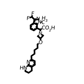 Cn1nc(C(F)F)c2cccc(C(C(=O)O)N3CC(OCCCCCc4ccc5c(n4)NCCC5)C3)c21